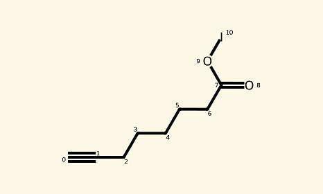 C#CCCCCCC(=O)OI